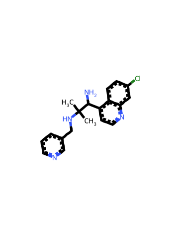 CC(C)(NCc1cccnc1)C(N)c1ccnc2cc(Cl)ccc12